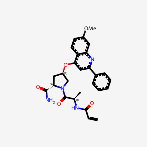 C=CC(=O)N[C@H](C)C(=O)N1C[C@H](Oc2cc(-c3ccccc3)nc3cc(OC)ccc23)C[C@H]1C(N)=O